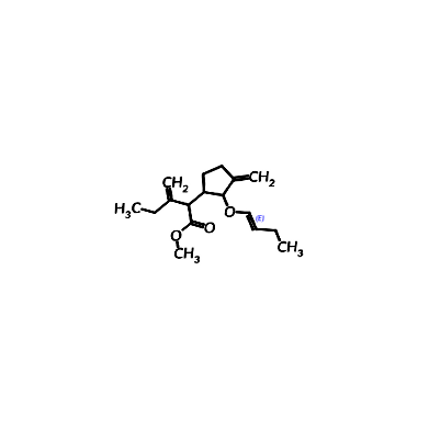 C=C1CCC(C(C(=C)CC)C(=O)OC)C1O/C=C/CC